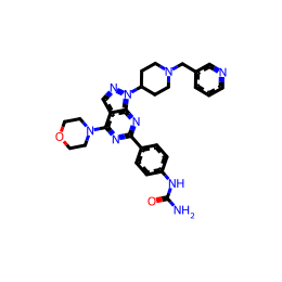 NC(=O)Nc1ccc(-c2nc(N3CCOCC3)c3cnn(C4CCN(Cc5cccnc5)CC4)c3n2)cc1